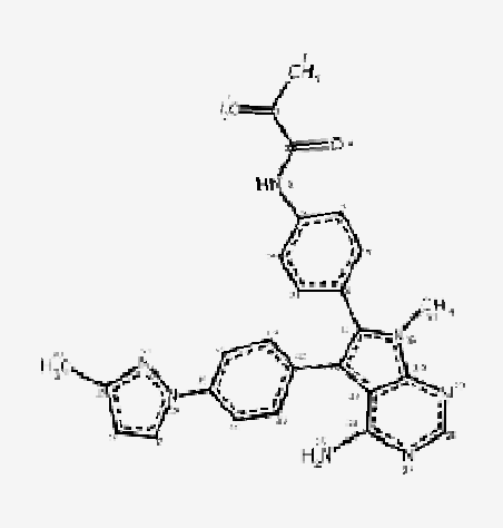 C=C(C)C(=O)Nc1ccc(-c2c(-c3ccc(-n4ccc(C)n4)cc3)c3c(N)ncnc3n2C)cc1